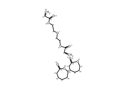 C=CC(=O)OCCOCCOC(=O)C=C.O=C1CCCCCO1.O=C1CCCCCO1